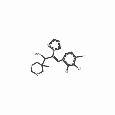 CC(=O)OC(C(=Cc1ccc(Cl)c(Cl)c1Cl)n1cncn1)C1(C)COCOC1